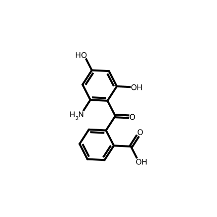 Nc1cc(O)cc(O)c1C(=O)c1ccccc1C(=O)O